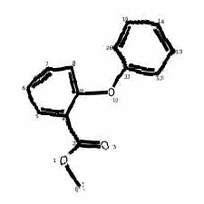 [C]OC(=O)c1ccccc1Oc1ccccc1